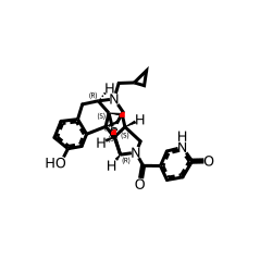 O=C(c1ccc(=O)[nH]c1)N1C[C@H]2C[C@@]34CC[C@@H]1[C@@H]2[C@@]31CCN(CC2CC2)[C@@H]4Cc2ccc(O)cc21